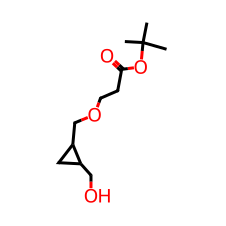 CC(C)(C)OC(=O)CCOCC1CC1CO